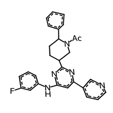 CC(=O)N1CC(c2nc(Nc3cccc(F)c3)cc(-c3cccnc3)n2)CCC1c1ccccc1